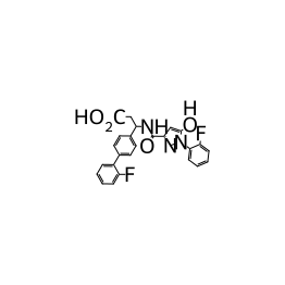 O=C(O)CC(NC(=O)c1cc(O)n(-c2ccccc2F)n1)c1ccc(-c2ccccc2F)cc1